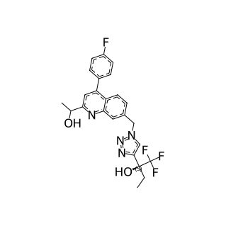 CC[C@](O)(c1cn(Cc2ccc3c(-c4ccc(F)cc4)cc(C(C)O)nc3c2)nn1)C(F)(F)F